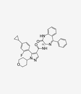 O=C(N[C@H]1N=C(c2ccccc2)c2ccccc2NC1=O)c1cnn(C2CCOCC2)c1-c1ccc(C2CC2)cc1F